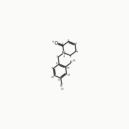 O=C1C=CCCN1Cc1ccc(F)cc1F